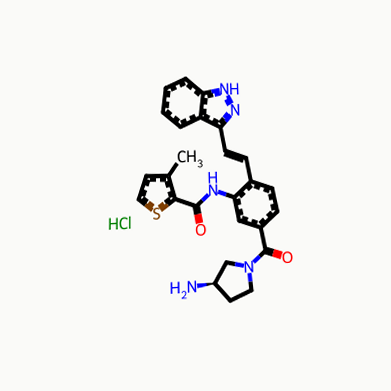 Cc1ccsc1C(=O)Nc1cc(C(=O)N2CC[C@@H](N)C2)ccc1/C=C/c1n[nH]c2ccccc12.Cl